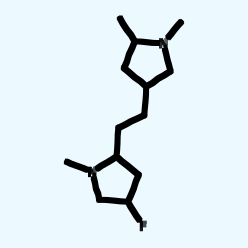 CC1CC(CCC2CC(F)CN2C)CN1C